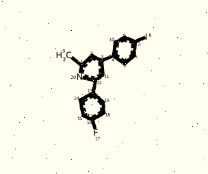 Cc1cc(-c2ccc(I)cc2)cc(-c2ccc(F)cc2)n1